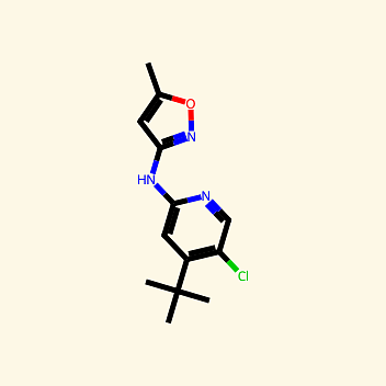 Cc1cc(Nc2cc(C(C)(C)C)c(Cl)cn2)no1